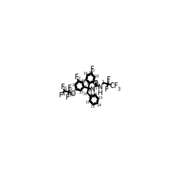 O=C(NCC(F)(F)C(F)(F)F)NC(Cc1ccccc1)(c1ccc(F)cc1)c1cc(F)cc(OC(F)(F)C(F)F)c1